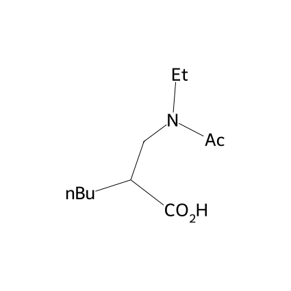 CCCCC(CN(CC)C(C)=O)C(=O)O